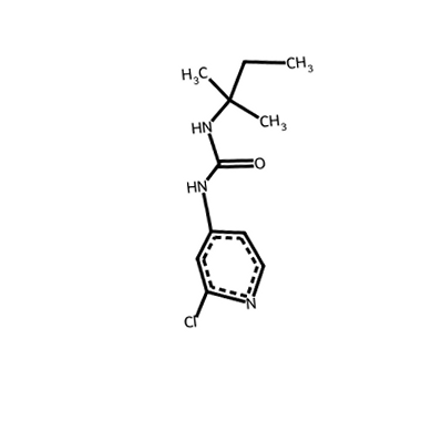 CCC(C)(C)NC(=O)Nc1ccnc(Cl)c1